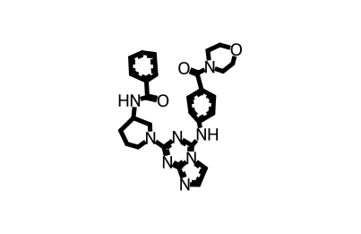 O=C(NC1CCCN(c2nc(Nc3ccc(C(=O)N4CCOCC4)cc3)n3ccnc3n2)C1)c1ccccc1